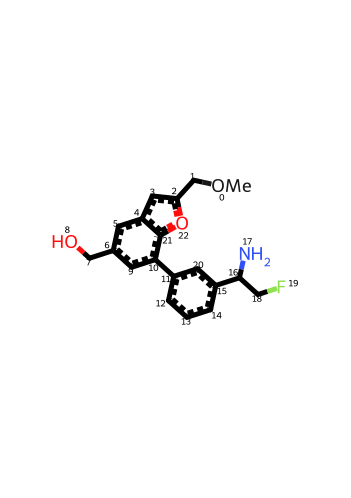 COCc1cc2cc(CO)cc(-c3cccc(C(N)CF)c3)c2o1